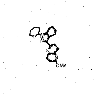 COc1ccc2nc(-c3nn(C4CCCCO4)c4ccccc34)ccc2n1